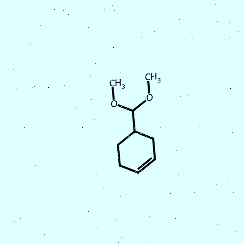 COC(OC)C1CC=CCC1